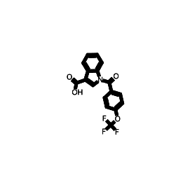 O=C(O)c1cn(C(=O)c2ccc(OC(F)(F)F)cc2)c2ccccc12